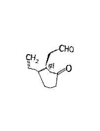 C=CC1CCC(=O)[C@@H]1CC=O